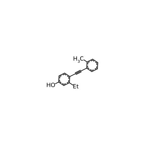 CCc1cc(O)ccc1C#Cc1ccccc1C